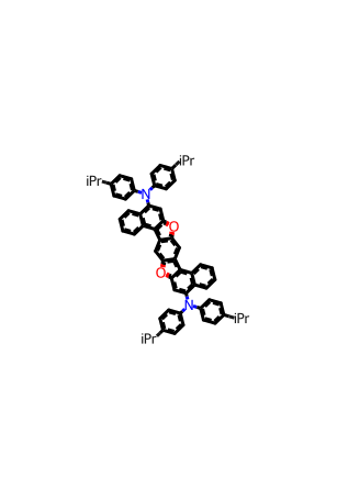 CC(C)c1ccc(N(c2ccc(C(C)C)cc2)c2cc3oc4cc5c(cc4c3c3ccccc23)oc2cc(N(c3ccc(C(C)C)cc3)c3ccc(C(C)C)cc3)c3ccccc3c25)cc1